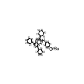 CCCCOc1ccc(CN(Cc2c(-c3ccccc3)nc(-c3ccccc3)n2CCCC)CC2CCCCC2)cc1